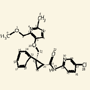 COCc1nc(C)ncc1OC[C@@]1(c2ccccc2)C[C@H]1C(=O)Nc1ccc(Cl)cn1